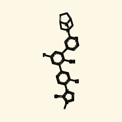 CN1C2CCC1CN(c1cc(-c3cc(F)cc(-c4ccc(-n5ccn(C)c5=O)c(Cl)c4)c3O)ccn1)C2